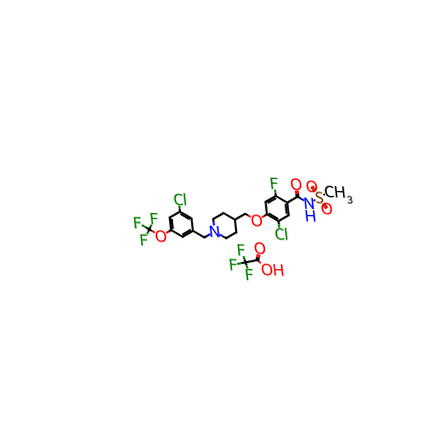 CS(=O)(=O)NC(=O)c1cc(Cl)c(OCC2CCN(Cc3cc(Cl)cc(OC(F)(F)F)c3)CC2)cc1F.O=C(O)C(F)(F)F